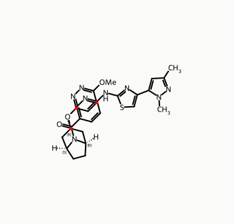 COc1ccc(O[C@H]2C[C@H]3CC[C@@H](C2)N3C(=O)c2ccc(Nc3nc(-c4cc(C)nn4C)cs3)nc2)nn1